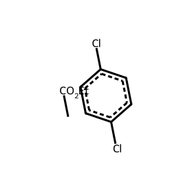 CCOC(C)=O.Clc1ccc(Cl)cc1